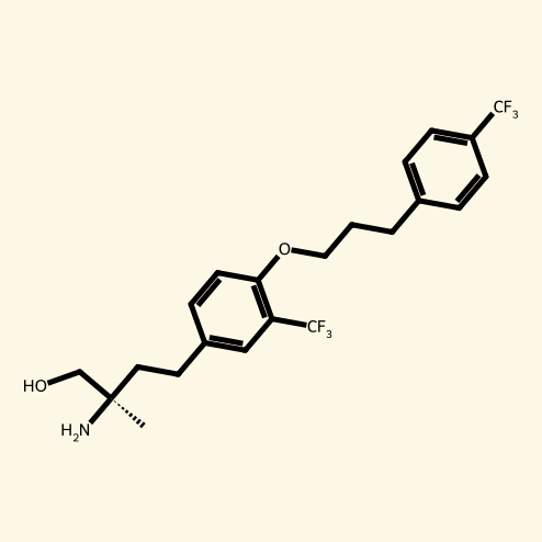 C[C@](N)(CO)CCc1ccc(OCCCc2ccc(C(F)(F)F)cc2)c(C(F)(F)F)c1